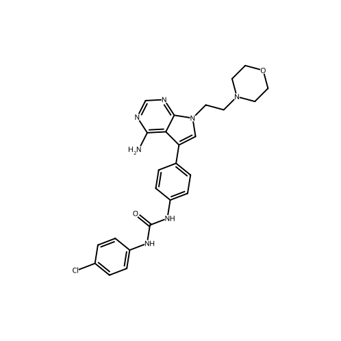 Nc1ncnc2c1c(-c1ccc(NC(=O)Nc3ccc(Cl)cc3)cc1)cn2CCN1CCOCC1